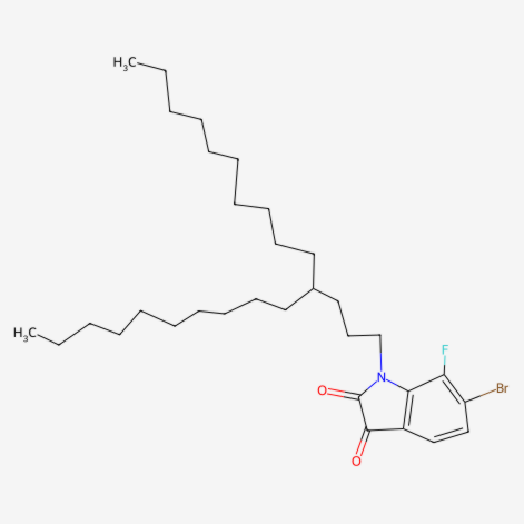 CCCCCCCCCCC(CCCCCCCCCC)CCCN1C(=O)C(=O)c2ccc(Br)c(F)c21